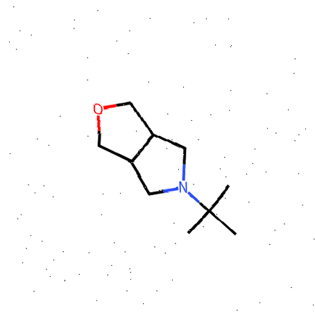 CC(C)(C)N1CC2COCC2C1